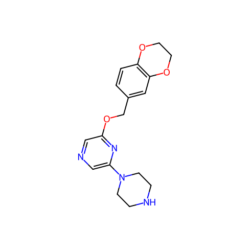 c1cc2c(cc1COc1cncc(N3CCNCC3)n1)OCCO2